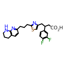 O=C(O)CC(Cc1csc(CCCc2ccc3c(n2)NCCC3)n1)c1ccc(F)c(F)c1